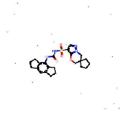 O=C(Nc1c2c(cc3c1CCC3)CCC2)NS(=O)(=O)c1cnn2c1OCC1(CCCC1)C2